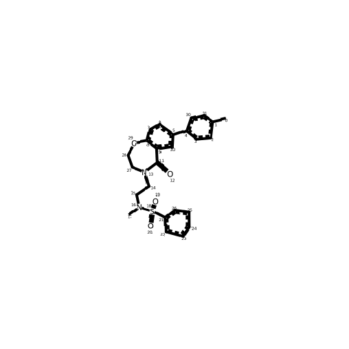 Cc1ccc(-c2ccc3c(c2)C(=O)N(CCN(C)S(=O)(=O)c2ccccc2)CCO3)cc1